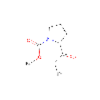 CC(C)CC(=O)C1CCCN1C(=O)OC(C)(C)C